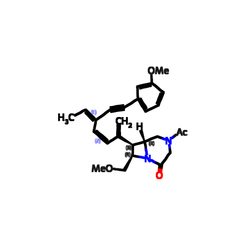 C=C(/C=C\C(C#Cc1cccc(OC)c1)=C/C)[C@@H]1[C@H](COC)N2C(=O)CN(C(C)=O)C[C@@H]12